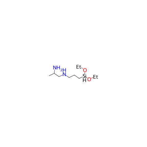 CCO[SiH](CCCNCC(C)N)OCC